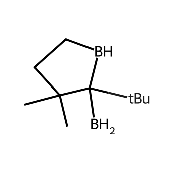 BC1(C(C)(C)C)BCCC1(C)C